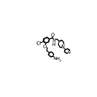 Nc1ccc(CCOc2cc(C(=O)NCC3CCN(c4ccncc4)CC3)ccc2Cl)cc1